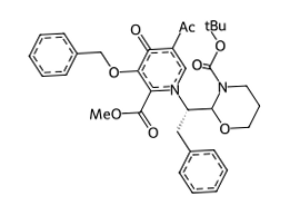 COC(=O)c1c(OCc2ccccc2)c(=O)c(C(C)=O)cn1[C@@H](Cc1ccccc1)C1OCCCN1C(=O)OC(C)(C)C